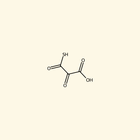 O=C(O)C(=O)C(=O)S